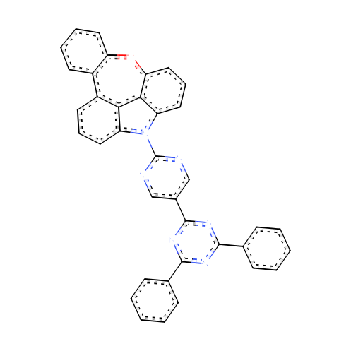 c1ccc(-c2nc(-c3ccccc3)nc(-c3cnc(-n4c5cccc6oc7ccccc7c7cccc4c7c65)nc3)n2)cc1